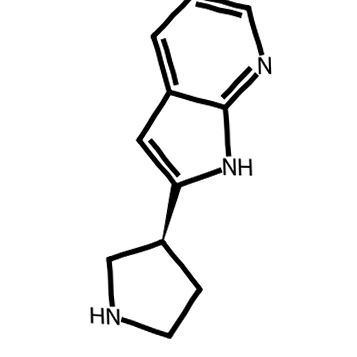 c1cnc2[nH]c([C@H]3CCNC3)cc2c1